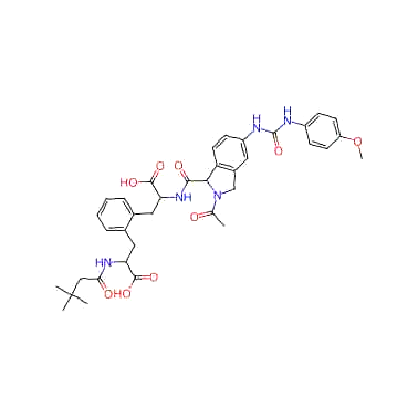 COc1ccc(NC(=O)Nc2ccc3c(c2)CN(C(C)=O)C3C(=O)NC(Cc2ccccc2CC(NC(=O)CC(C)(C)C)C(=O)O)C(=O)O)cc1